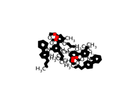 CCCCc1ccc2c3ccccc3n(-c3cc(C(C)(C)C)cc(-c4cc(F)cc(C)c4OCCCOc4c(C)cc(F)cc4-c4cc(C(C)(C)CC(C)(C)C)cc(-n5c6ccccc6c6ccc(CCCC)cc65)c4OC4CCCCO4)c3OC3CCCCO3)c2c1